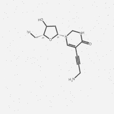 [2H]C[C@H]1O[C@@H](N2C=C(C#CCN)C(=O)NC2)CC1O